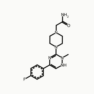 CN1NC=C(c2ccc(F)cc2)N=C1N1CCN(CC(N)=O)CC1